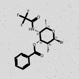 C[C@@H]1O[C@@H](Br)[C@H](F)[C@H](OC(=O)c2ccccc2)[C@@H]1NC(=O)C(F)(F)F